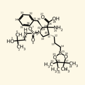 CC(C)(O)CNS(=O)(=O)N1C[C@@H](CCCB2OC(C)(C)C(C)(C)O2)C(N)(C(=O)O)[C@@H]1Cc1ccccc1